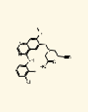 COc1cc2ncnc(Nc3cccc(Cl)c3F)c2cc1CN(CCC#N)CC(=O)O